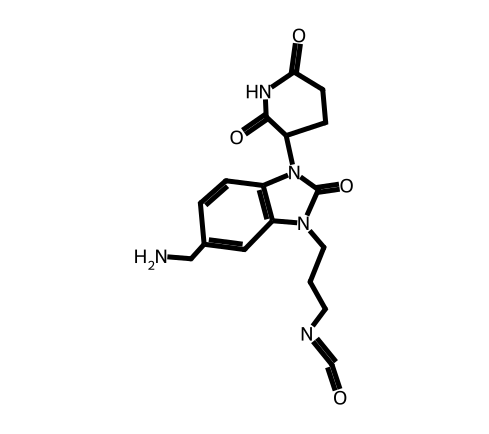 NCc1ccc2c(c1)n(CCCN=C=O)c(=O)n2C1CCC(=O)NC1=O